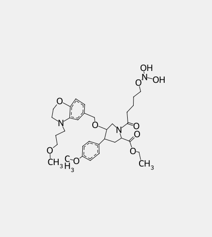 CCOC(=O)C1CC(c2ccc(OC)cc2)C(OCc2ccc3c(c2)N(CCCOC)CCO3)CN1C(=O)CCCCON(O)O